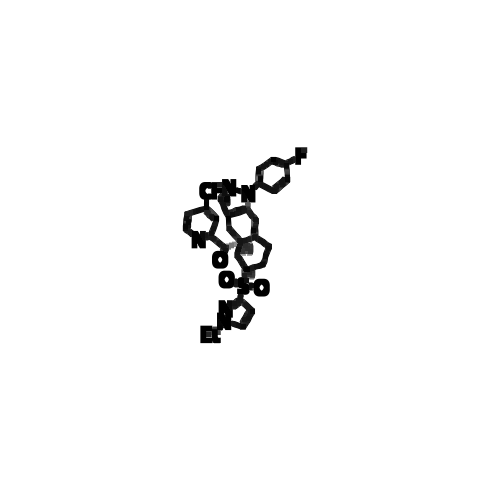 CCn1ccc(S(=O)(=O)[C@H]2CCC3=Cc4c(cnn4-c4ccc(F)cc4)C[C@]3(C(=O)c3cc(C(F)(F)F)ccn3)C2)n1